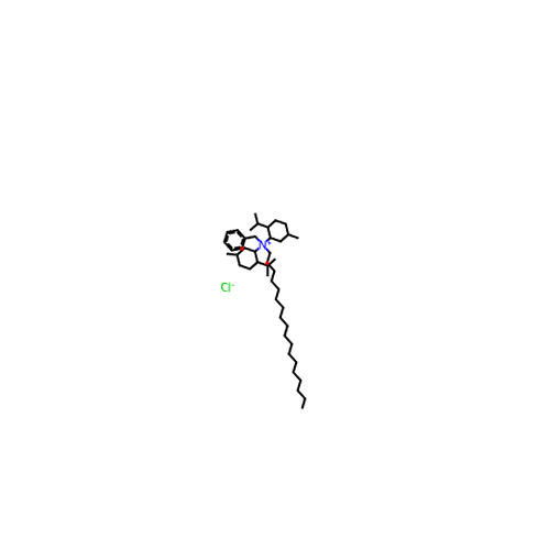 CCCCCCCCCCCCCCCCCC[N+](Cc1ccccc1)(C1CC(C)CCC1C(C)C)C1CC(C)CCC1C(C)C.[Cl-]